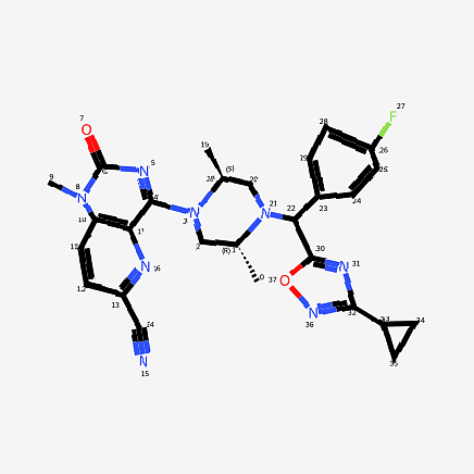 C[C@@H]1CN(c2nc(=O)n(C)c3ccc(C#N)nc23)[C@@H](C)CN1C(c1ccc(F)cc1)c1nc(C2CC2)no1